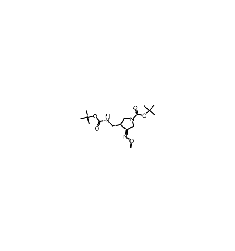 CO/N=C1\CN(C(=O)OC(C)(C)C)CC1CNC(=O)OC(C)(C)C